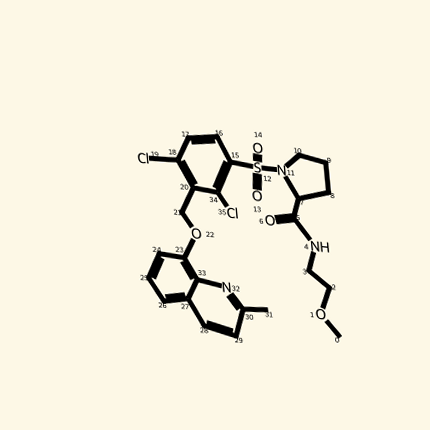 COCCNC(=O)C1CCCN1S(=O)(=O)c1ccc(Cl)c(COc2cccc3ccc(C)nc23)c1Cl